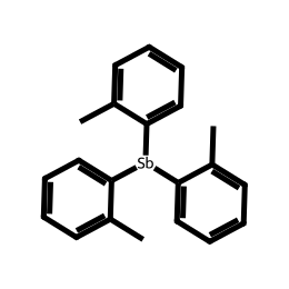 Cc1cccc[c]1[Sb]([c]1ccccc1C)[c]1ccccc1C